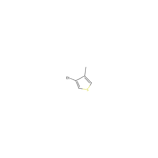 CCc1cscc1C